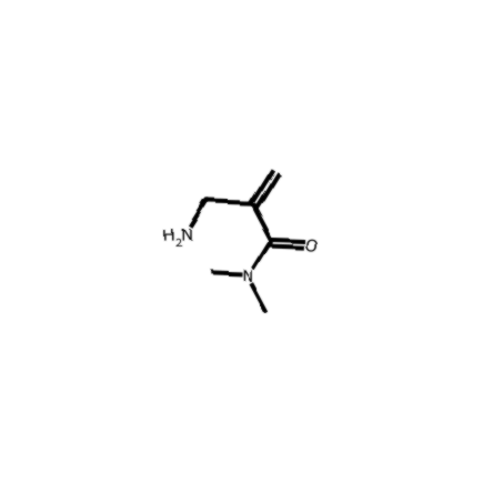 C=C(CN)C(=O)N(C)C